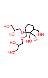 OCC(O)COCC1(OCC(O)CO)CCCC(CO)C1(CO)CO